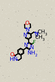 CN(C)Cc1cc(-c2nc(-c3ccc4c(c3)CCNC4=O)c(N)nc2F)cnc1N1CCOCC1